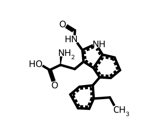 CCc1ccccc1-c1cccc2[nH]c(NC=O)c(C[C@H](N)C(=O)O)c12